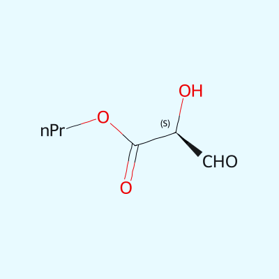 CCCOC(=O)[C@@H](O)C=O